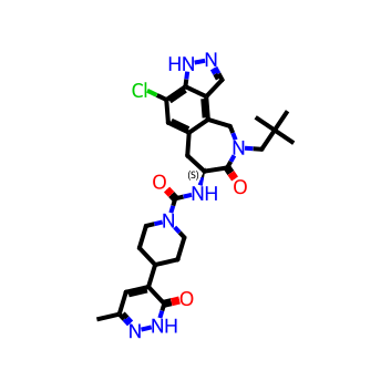 Cc1cc(C2CCN(C(=O)N[C@H]3Cc4cc(Cl)c5[nH]ncc5c4CN(CC(C)(C)C)C3=O)CC2)c(=O)[nH]n1